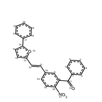 O=C(c1ccccc1)c1cc(/C=C/c2ccc(-c3ccccc3)o2)ccc1[N+](=O)[O-]